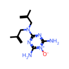 C=C(C)CN(CC(=C)C)c1nc(N)[n+]([O-])c(N)n1